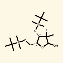 CC(C)(C)[Si](C)(C)OC[C@H]1OC(O)C(F)(F)[C@H]1O[Si](C)(C)C(C)(C)C